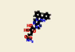 NS(=O)(=O)CCC1O[C@@H](n2cnc3c(NC(c4ccccc4)c4ccccc4)ncnc32)[C@H](O)[C@H]1O